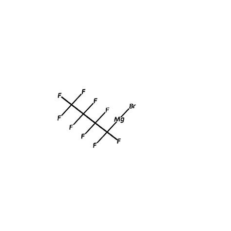 FC(F)(F)C(F)(F)C(F)(F)[C](F)(F)[Mg][Br]